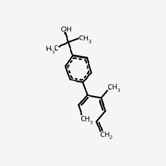 C=C/C=C(C)\C(=C/C)c1ccc(C(C)(C)O)cc1